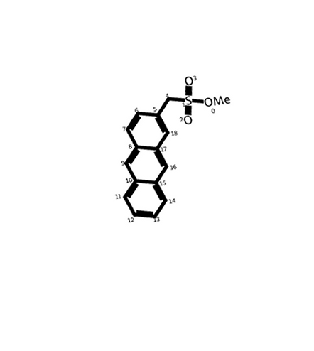 COS(=O)(=O)Cc1ccc2cc3ccccc3cc2c1